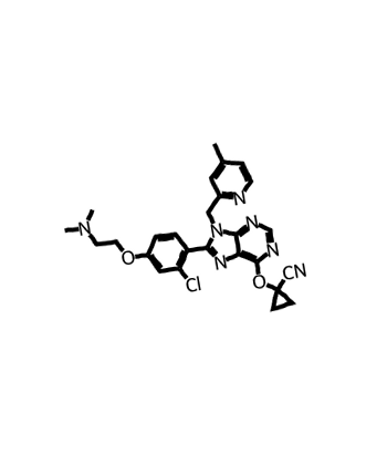 Cc1ccnc(Cn2c(-c3ccc(OCCN(C)C)cc3Cl)nc3c(OC4(C#N)CC4)ncnc32)c1